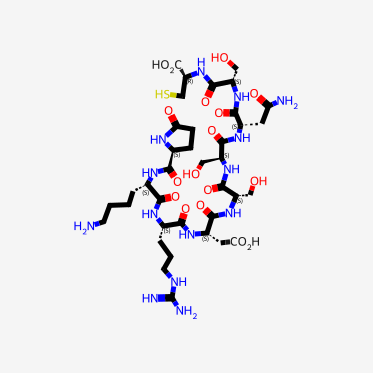 N=C(N)NCCC[C@H](NC(=O)[C@H](CCCCN)NC(=O)[C@@H]1CCC(=O)N1)C(=O)N[C@@H](CC(=O)O)C(=O)N[C@@H](CO)C(=O)N[C@@H](CO)C(=O)N[C@@H](CC(N)=O)C(=O)N[C@@H](CO)C(=O)N[C@@H](CS)C(=O)O